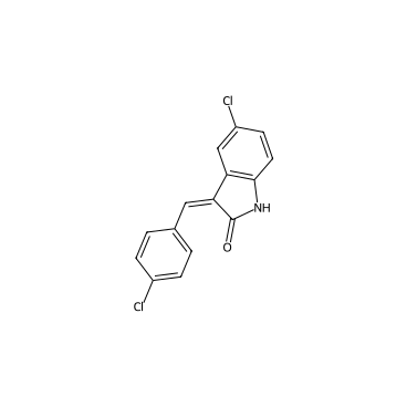 O=C1Nc2ccc(Cl)cc2C1=Cc1ccc(Cl)cc1